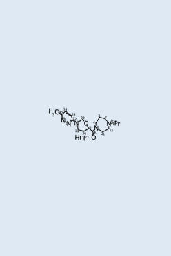 CC(C)N1CCCN(C(=O)C2CCN(c3ccc(C(F)(F)F)nn3)CC2)CC1.Cl